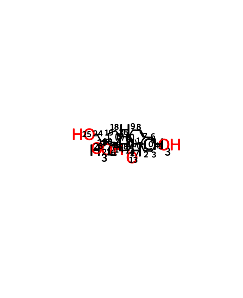 C[C@]12CCC(O)=CC1=CC[C@@H]1[C@@H]2C(=O)C[C@@]2(C)[C@H]1CC[C@]2(O)C(=O)CO